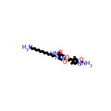 Cc1cc(N(C)C(N)=O)cc(C)c1/C=C/S(=O)(=O)N1CCC2(CC1)N=C(CCCCCCCCCCCN)NC2=O